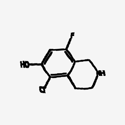 Oc1cc(F)c2c(c1Cl)CCNC2